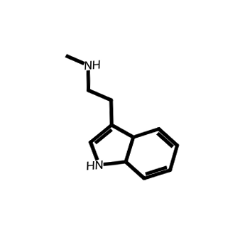 CNCCC1=CNC2C=CC=CC12